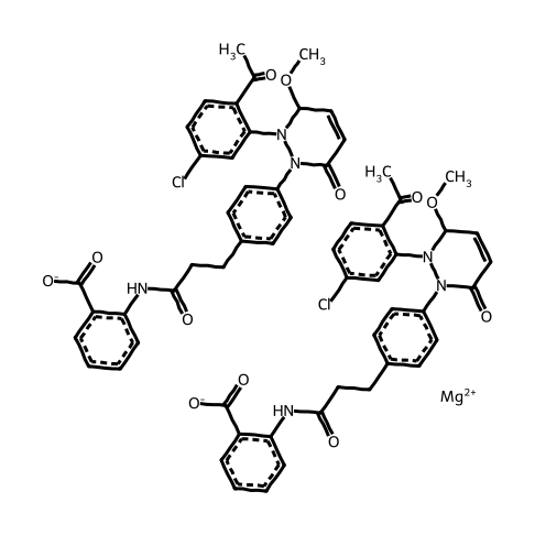 COC1C=CC(=O)N(c2ccc(CCC(=O)Nc3ccccc3C(=O)[O-])cc2)N1c1cc(Cl)ccc1C(C)=O.COC1C=CC(=O)N(c2ccc(CCC(=O)Nc3ccccc3C(=O)[O-])cc2)N1c1cc(Cl)ccc1C(C)=O.[Mg+2]